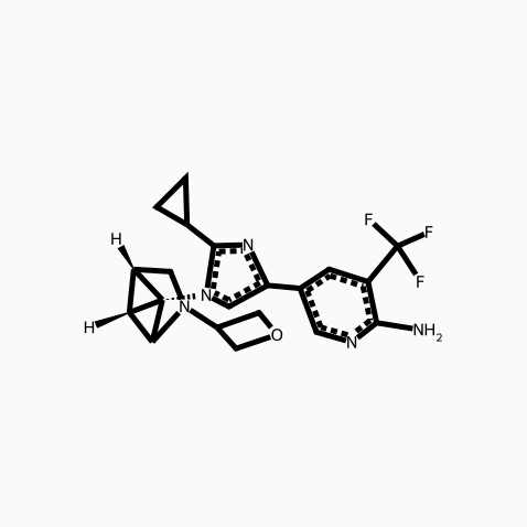 Nc1ncc(-c2cn([C@]34C5[C@@H]3[C@@H]4CN5C3COC3)c(C3CC3)n2)cc1C(F)(F)F